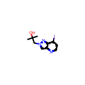 CC(C)(O)Cn1cc2nccc(I)c2n1